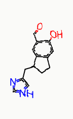 O=Cc1cc2c(cc1O)CCC2Cc1c[nH]cn1